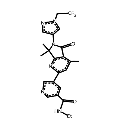 CCNC(=O)c1cncc(-c2cc(C)c3c(n2)C(C)(C)N(c2cnn(CC(F)(F)F)c2)C3=O)c1